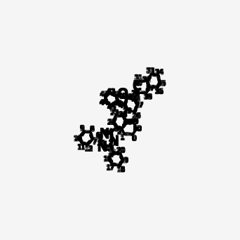 C1=Cc2c(-c3nc(-c4ccccc4)nc(-c4ccccc4)n3)ccc(-c3ccc(-c4ccc5ccccc5c4)c4oc5ccccc5c34)c2CC1